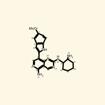 COc1ccc2[nH]c(-c3cnc(N)c4cnc(NC5CCCCC5N)nc34)cc2c1